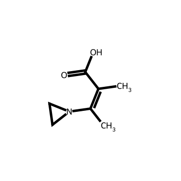 CC(C(=O)O)=C(C)N1CC1